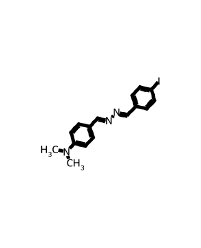 CN(C)c1ccc(/C=N/N=C/c2ccc(I)cc2)cc1